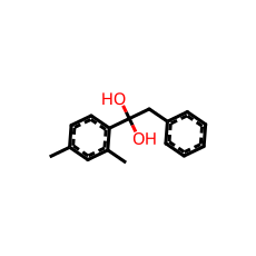 Cc1ccc(C(O)(O)Cc2ccccc2)c(C)c1